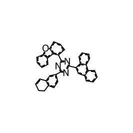 C1=Cc2cc(-c3nc(-c4cc5ccccc5c5ccccc45)nc(-c4cccc5oc6ccccc6c45)n3)ccc2CC1